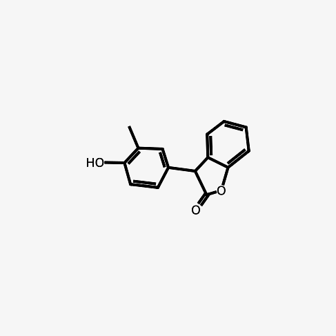 Cc1cc(C2C(=O)Oc3ccccc32)ccc1O